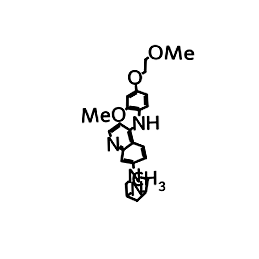 COCCOc1ccc(Nc2ccnc3cc(N4CC5CC(C4)N5C)ccc23)c(OC)c1